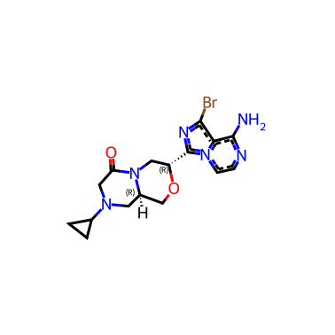 Nc1nccn2c([C@H]3CN4C(=O)CN(C5CC5)C[C@@H]4CO3)nc(Br)c12